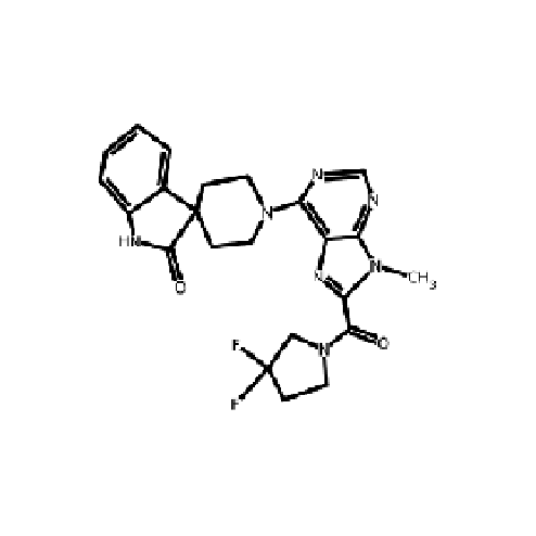 Cn1c(C(=O)N2CCC(F)(F)C2)nc2c(N3CCC4(CC3)C(=O)Nc3ccccc34)ncnc21